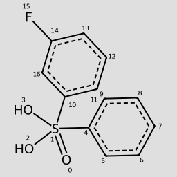 O=S(O)(O)(c1ccccc1)c1cccc(F)c1